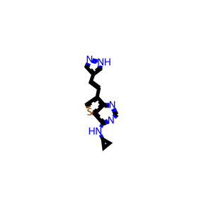 C(=Cc1csc2c(NC3CC3)ncnc12)c1cn[nH]c1